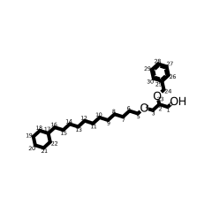 OCC(COCCCCCCCCCCCCC1CCCCC1)OCc1ccccc1